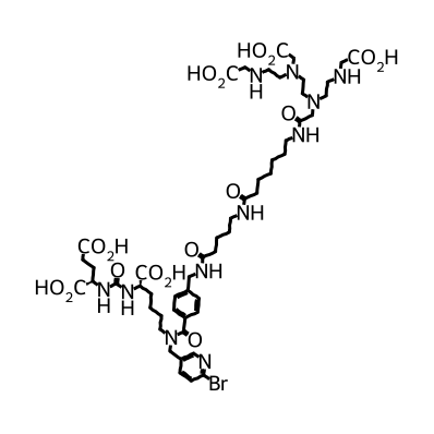 O=C(O)CC[C@@H](NC(=O)N[C@H](CCCCN(Cc1ccc(Br)nc1)C(=O)c1ccc(CNC(=O)CCCCNC(=O)CCCCCCNC(=O)CN(CCNCC(=O)O)CCN(CCNCC(=O)O)CC(=O)O)cc1)C(=O)O)C(=O)O